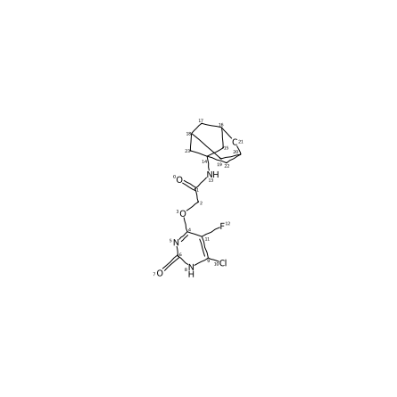 O=C(COc1nc(=O)[nH]c(Cl)c1F)NC12CC3CC(CC(C3)C1)C2